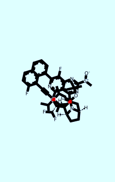 CC(C)[Si](C#Cc1c(F)ccc2cccc(-c3nc4c5c(nc([S+](C)[O-])nc5c3F)N3C[C@H]5CC[C@@H]([C@H]3[C@H](C(F)F)O4)N5C(=O)OC(C)(C)C)c12)(C(C)C)C(C)C